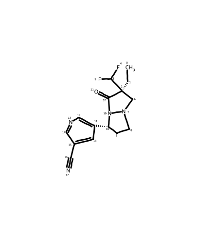 CC[C@]1(C(F)F)CN2CC[C@H](c3cncc(C#N)c3)N2C1=O